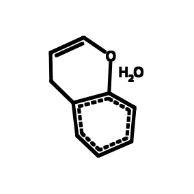 C1=COc2ccccc2C1.O